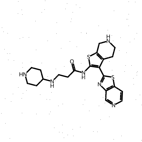 O=C(CCNC1CCNCC1)Nc1sc2c(c1-c1nc3cnccc3s1)CCNC2